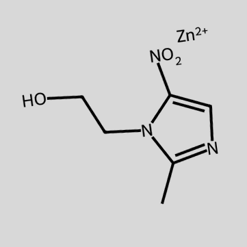 Cc1ncc([N+](=O)[O-])n1CCO.[Zn+2]